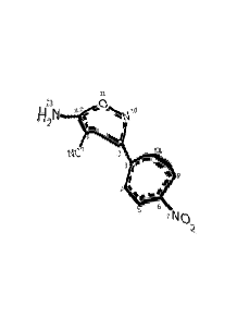 N#Cc1c(-c2ccc([N+](=O)[O-])cc2)noc1N